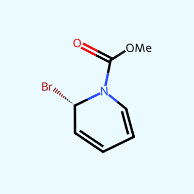 COC(=O)N1C=CC=C[C@@H]1Br